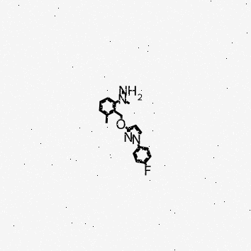 Cc1cccc(N(C)N)c1COc1ccn(-c2ccc(F)cc2)n1